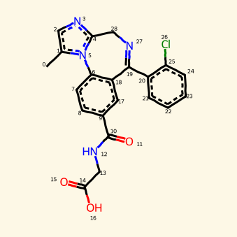 Cc1cnc2n1-c1ccc(C(=O)NCC(=O)O)cc1C(c1ccccc1Cl)=NC2